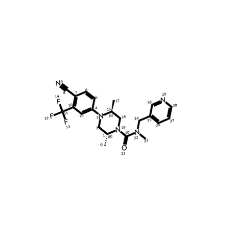 C[C@@H]1CN(c2ccc(C#N)c(C(F)(F)F)c2)[C@@H](C)CN1C(=O)N(C)Cc1cccnc1